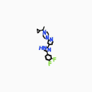 CC(C1CC1)N1CCN(c2cc(-c3nc(-c4ccc(F)c(F)c4)c[nH]3)ccn2)CC1